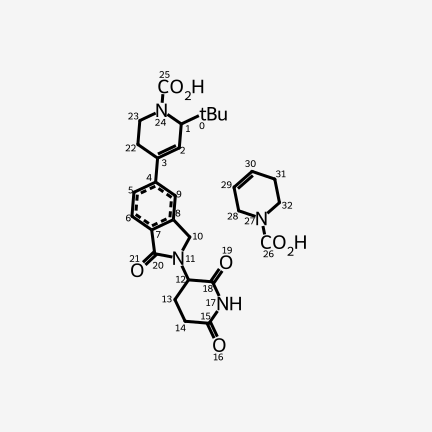 CC(C)(C)C1C=C(c2ccc3c(c2)CN(C2CCC(=O)NC2=O)C3=O)CCN1C(=O)O.O=C(O)N1CC=CCC1